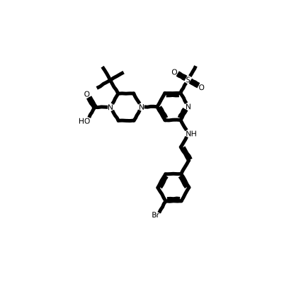 CC(C)(C)C1CN(c2cc(NC=Cc3ccc(Br)cc3)nc(S(C)(=O)=O)c2)CCN1C(=O)O